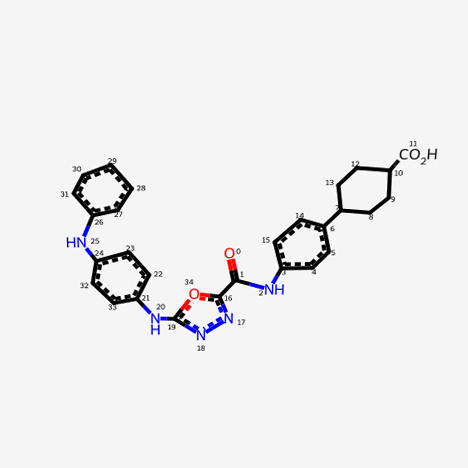 O=C(Nc1ccc(C2CCC(C(=O)O)CC2)cc1)c1nnc(Nc2ccc(Nc3ccccc3)cc2)o1